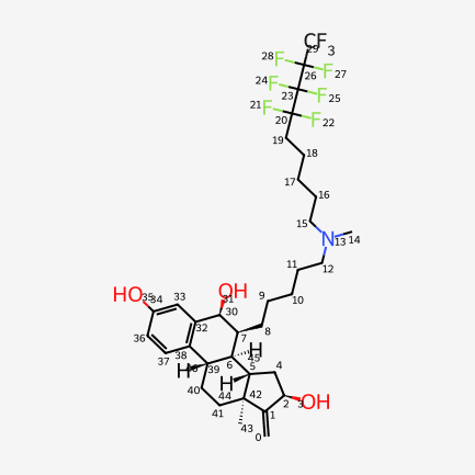 C=C1[C@H](O)C[C@H]2[C@@H]3[C@H](CCCCCN(C)CCCCCC(F)(F)C(F)(F)C(F)(F)C(F)(F)F)[C@H](O)c4cc(O)ccc4[C@H]3CC[C@]12C